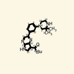 CC1(C)CN(c2cccc(-c3cnc4[nH]cc(C(=O)C(C)(C)C)c4n3)c2)CCN1